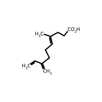 C=CC(=C)CCC=C(C)CCC(=O)O